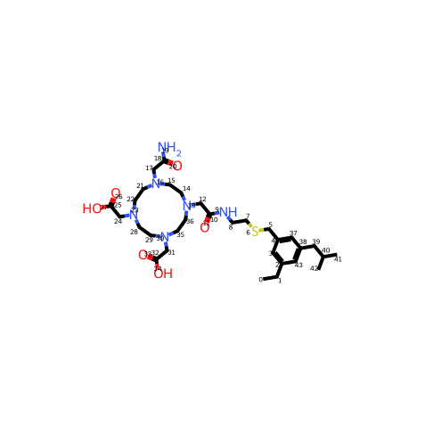 CCc1cc(CSCCNC(=O)CN2CCN(CC(N)=O)CCN(CC(=O)O)CCN(CC(=O)O)CC2)cc(CC(C)C)c1